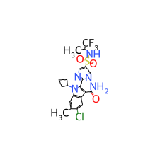 Cc1cc2c(cc1Cl)c(C(N)=O)c(-c1ncc(S(=O)(=O)N[C@@H](C)C(F)(F)F)cn1)n2C1CCC1